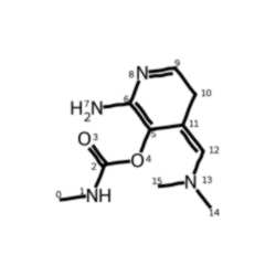 CNC(=O)OC1=C(N)N=CCC1=CN(C)C